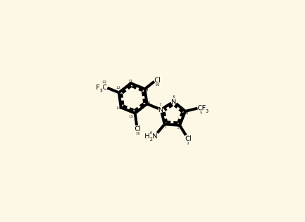 Nc1c(Cl)c(C(F)(F)F)nn1-c1c(Cl)cc(C(F)(F)F)cc1Cl